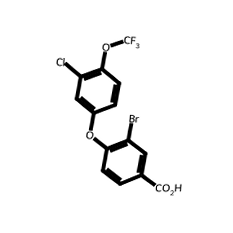 O=C(O)c1ccc(Oc2ccc(OC(F)(F)F)c(Cl)c2)c(Br)c1